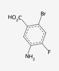 Nc1cc(C(=O)O)c(Br)cc1F